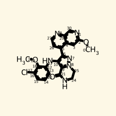 COc1cc2c(-c3nn4c(c3Nc3cccc(Cl)c3OC)C(=O)NCC4)ccnc2cn1